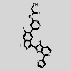 CCC(=O)Nc1cncc(-c2cc3c(-c4nc5c(-c6cccs6)nccc5[nH]4)n[nH]c3cc2F)c1